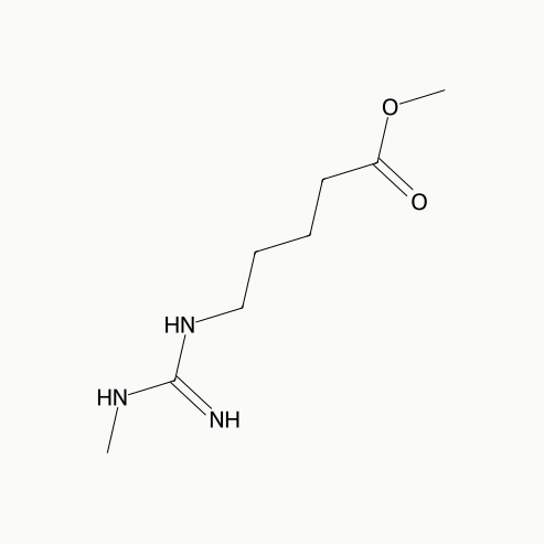 CNC(=N)NCCCCC(=O)OC